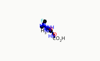 CC1(c2ccc(CCC(=O)NCC(=O)O)cc2)C(=O)Nc2nc(-c3nn(Cc4ccccc4F)c4ncccc34)nc(N)c21